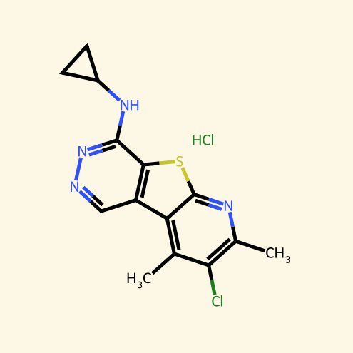 Cc1nc2sc3c(NC4CC4)nncc3c2c(C)c1Cl.Cl